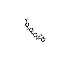 O=C(Nc1cccnn1)N1CCC(=Cc2cccc(Oc3ccc(C4CC4)cn3)c2)CC1